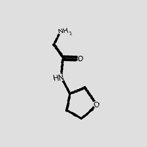 NCC(=O)NC1CCOC1